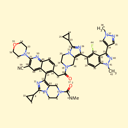 CNC(=O)N1CCn2c(C3CC3)nc(-c3c(CC(=O)N4CCn5c(C6CC6)nc(-c6ccc7c(c(-c8cnn(C)c8)nn7C)c6F)c5C4)ccc4nc(N5CCOCC5)c(C#N)cc34)c2C1